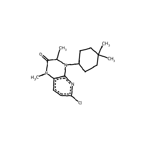 CC1C(=O)N(C)c2ccc(Cl)nc2N1C1CCC(C)(C)CC1